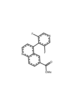 COC(=O)c1ccc2nccc(-c3c(F)cncc3F)c2c1